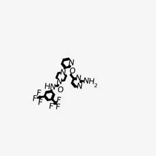 Nc1nccc(COc2ncccc2N2CCN(C(=O)Nc3cc(C(F)(F)F)cc(C(F)(F)F)c3)CC2)n1